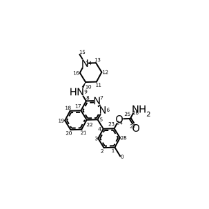 Cc1ccc(-c2nnc(N[C@@H]3CCCN(C)C3)c3ccccc23)c(OC(N)=O)c1